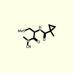 CSCC(NC(=O)C1(C)CC1)C(=O)N(C)C#N